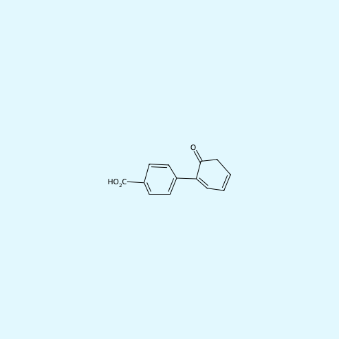 O=C1CC=CC=C1c1ccc(C(=O)O)cc1